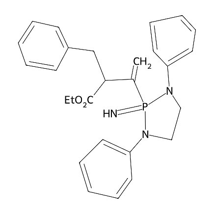 C=C(C(Cc1ccccc1)C(=O)OCC)P1(=N)N(c2ccccc2)CCN1c1ccccc1